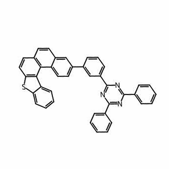 c1ccc(-c2nc(-c3ccccc3)nc(-c3cccc(-c4ccc5c(ccc6ccc7sc8ccccc8c7c65)c4)c3)n2)cc1